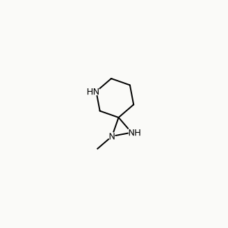 CN1NC12CCCNC2